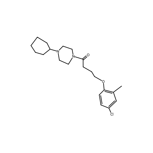 Cc1cc(Cl)ccc1OCCCC(=O)N1CCN(C2CCCCC2)CC1